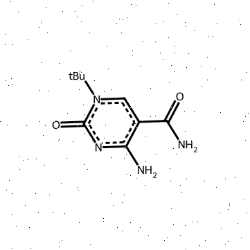 CC(C)(C)n1cc(C(N)=O)c(N)nc1=O